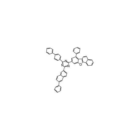 c1ccc(-c2ccc(-c3nc(-c4ccc5cc(-c6ccccc6)ccc5c4)nc(-c4cc(-c5ccccc5)c5c(c4)oc4c6ccccc6ccc45)n3)cc2)cc1